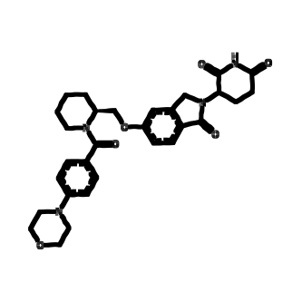 O=C1CCC(N2Cc3cc(OC[C@@H]4CCCCN4C(=O)c4ccc(N5CCOCC5)cc4)ccc3C2=O)C(=O)N1